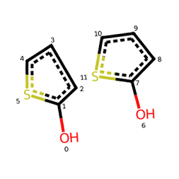 Oc1cccs1.Oc1cccs1